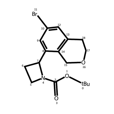 CC(C)(C)OC(=O)N1CCC1c1cc(Br)cc2c1COCC2